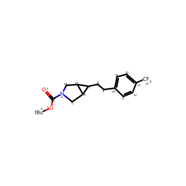 CC(C)(C)OC(=O)N1CC2C(CCc3ccc(C(F)(F)F)cc3)C2C1